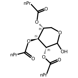 CCCC(=O)O[C@H]1[C@H](OC(=O)CCC)COC(O)[C@@H]1OC(=O)CCC